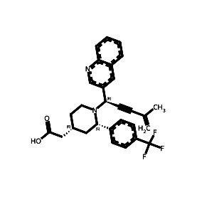 C=C(C)C#C[C@H](c1cnc2ccccc2c1)N1CC[C@@H](CC(=O)O)C[C@H]1c1ccc(C(F)(F)F)cc1